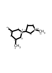 CC1CC(I)CN(C2CCN(C)C2)C1